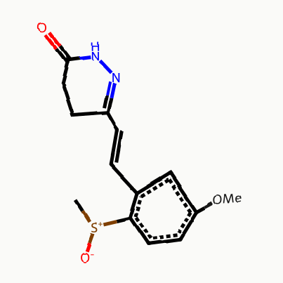 COc1ccc([S+](C)[O-])c(C=CC2=NNC(=O)CC2)c1